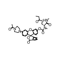 CCC(=O)SC[C@@H](C(=O)NC)N(C)C(=O)Oc1ccc2c(c1)Oc1cc(N3CCN(C(C)=O)CC3)ccc1C21OC(=O)c2ccccc21